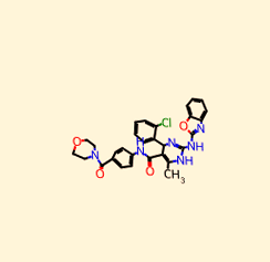 CC1=C(C(=O)Nc2ccc(C(=O)N3CCOCC3)cc2)C(c2ccccc2Cl)N=C(Nc2nc3ccccc3o2)N1